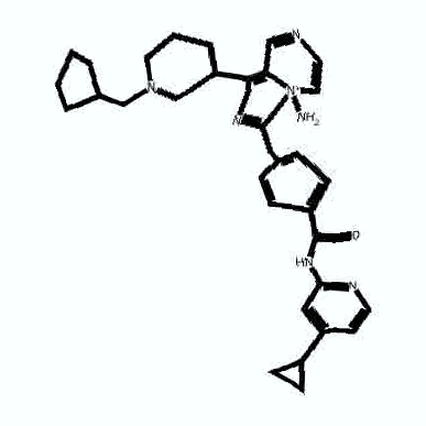 N[N+]12C=CN=CC1=C(C1CCCN(CC3CCCC3)C1)N=C2c1ccc(C(=O)Nc2cc(C3CC3)ccn2)cc1